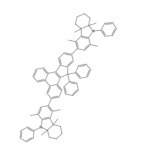 Cc1cc(-c2ccc3c(c2)C(c2ccccc2)(c2ccccc2)c2c-3c3ccccc3c3cc(-c4cc(C)c5c(c4C)C4(C)CCCCC4(C)N5c4ccccc4)ccc23)c(C)c2c1N(c1ccccc1)C1(C)CCCCC21C